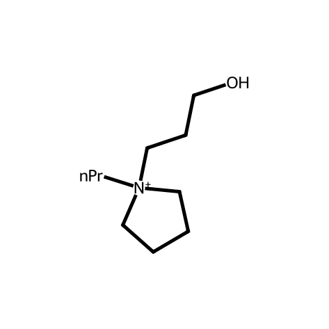 CCC[N+]1(CCCO)CCCC1